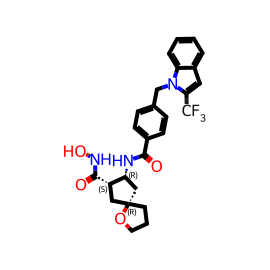 O=C(N[C@@H]1C[C@@]2(CCCO2)C[C@@H]1C(=O)NO)c1ccc(Cn2c(C(F)(F)F)cc3ccccc32)cc1